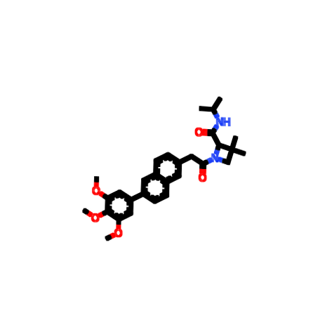 COc1cc(-c2ccc3cc(CC(=O)N4CC(C)(C)C4C(=O)NC(C)C)ccc3c2)cc(OC)c1OC